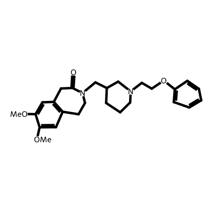 COc1cc2c(cc1OC)CC(=O)N(CC1CCCN(CCOc3ccccc3)C1)CC2